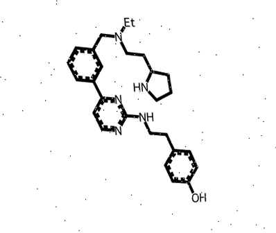 CCN(CCC1CCCN1)Cc1cccc(-c2ccnc(NCCc3ccc(O)cc3)n2)c1